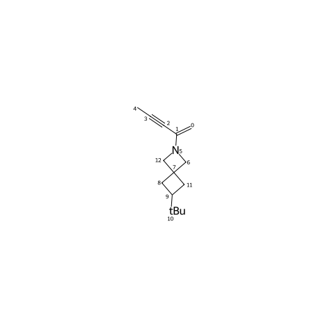 C=C(C#CC)N1CC2(CC(C(C)(C)C)C2)C1